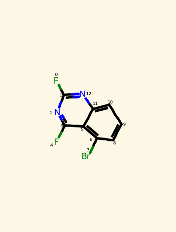 Fc1nc(F)c2c(Br)cccc2n1